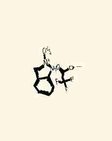 C[n+]1cc2ccccc2[nH]1.O=C([O-])C(F)(F)F